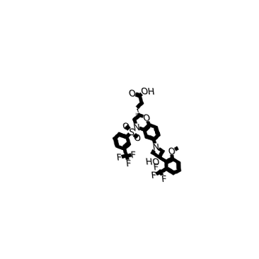 COc1cccc(C(F)(F)F)c1C1(O)CN(c2ccc3c(c2)N(S(=O)(=O)c2cccc(C(F)(F)F)c2)C[C@H](CCC(=O)O)O3)C1